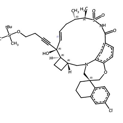 C[C@@H]1[C@@H](C)C/C=C/[C@@](O)(C#CCCO[Si](C)(C)C(C)(C)C)[C@@H]2CC[C@H]2CN2C[C@@]3(CCCc4cc(Cl)ccc43)COc3ccc(cc32)C(=O)NS1(=O)=O